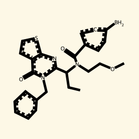 Bc1ccc(C(=O)N(CCOC)C(CC)c2nc3sccc3c(=O)n2Cc2ccccc2)cc1